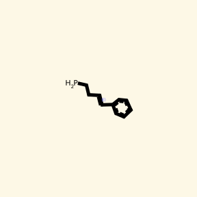 PCC/C=C/c1ccccc1